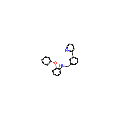 c1ccc(Oc2ccccc2NCc2cccc(-c3ccccn3)c2)cc1